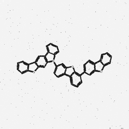 c1ccc2c(c1)oc1cc(-c3cccc4c3oc3cc(-n5c6ccccc6c6cc7c(cc65)sc5ccccc57)ccc34)ccc12